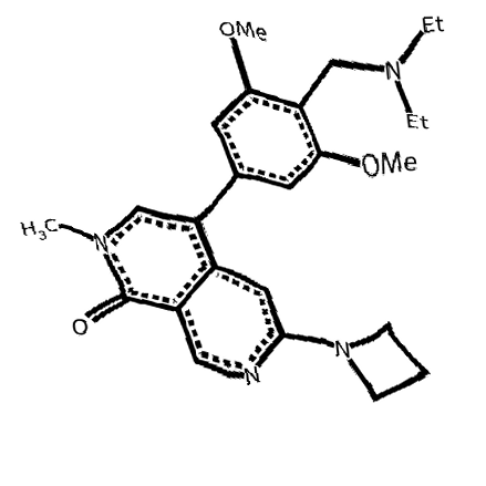 CCN(CC)Cc1c(OC)cc(-c2cn(C)c(=O)c3cnc(N4CCC4)cc23)cc1OC